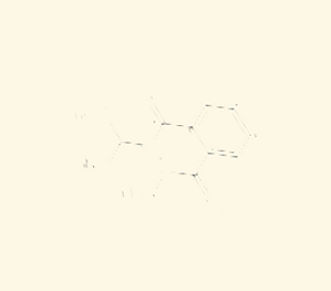 CCCCCCCCCC(CCCCCCCC)OC(=O)c1ccccc1C(=O)OCCCCCC